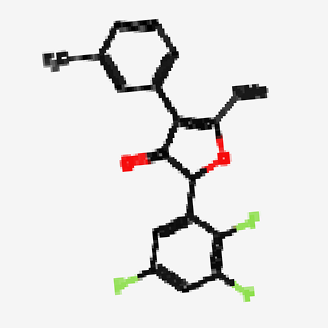 CNC1=C(c2cccc(C(F)(F)F)c2)C(=O)C(c2cc(F)cc(F)c2F)O1